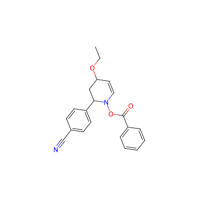 CCOC1C=CN(OC(=O)c2ccccc2)C(c2ccc(C#N)cc2)C1